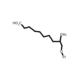 CCOCC(CCCCCCCC(=O)O)OC(C)=O